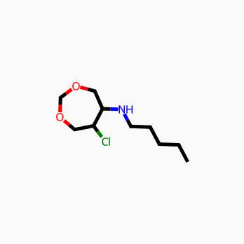 CCCCCNC1COCOCC1Cl